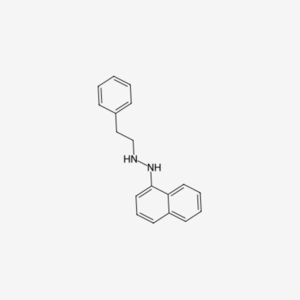 c1ccc(CCNNc2cccc3ccccc23)cc1